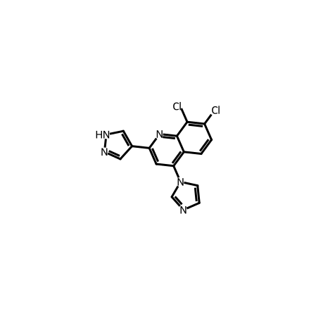 Clc1ccc2c(-n3ccnc3)cc(-c3cn[nH]c3)nc2c1Cl